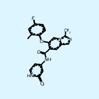 Cc1cc(F)ccc1Oc1cn2c(C(F)(F)F)ncc2cc1C(=O)Nc1cc[nH]c(=O)c1